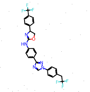 FC(F)(F)Cc1ccc(-n2cnc(-c3ccc(NC4=NC(c5ccc(C(F)(F)F)cc5)CO4)cc3)n2)cc1